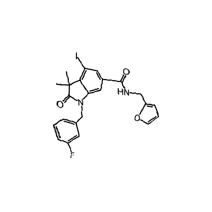 CC1(C)C(=O)N(Cc2cccc(F)c2)c2cc(C(=O)NCc3ccco3)cc(I)c21